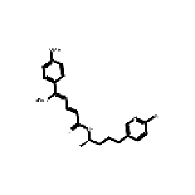 CCCCC/C(=C\C=C\C(=O)N[C@H](C)CCCc1ccc(C(C)C)nc1)c1ccc(OC)cc1